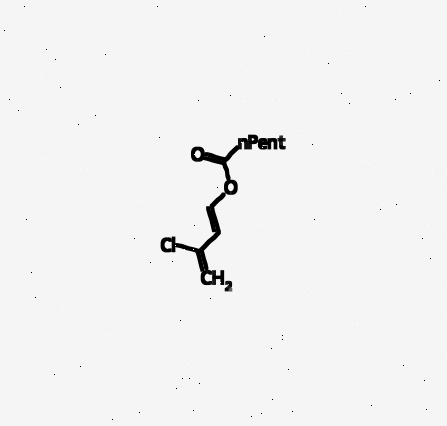 C=C(Cl)C=COC(=O)CCCCC